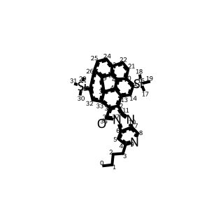 CCCCc1cc2c(cn1)nc1c3c4cc([Si](C)(C)C)c5ccc6ccc7c([Si](C)(C)C)cc(c3c(=O)n21)c1c7c6c5c41